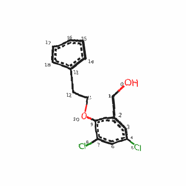 OCc1cc(Cl)cc(Cl)c1OCCc1ccccc1